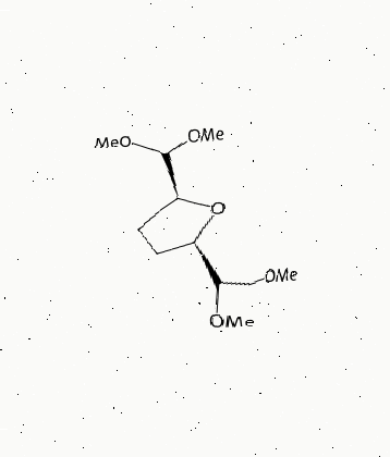 COC(OC)[C@@H]1CC[C@H](C(OC)OC)O1